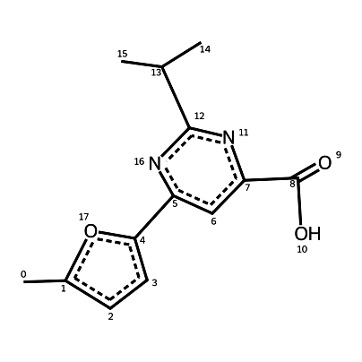 Cc1ccc(-c2cc(C(=O)O)nc(C(C)C)n2)o1